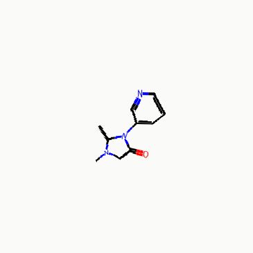 CC1N(C)CC(=O)N1c1cccnc1